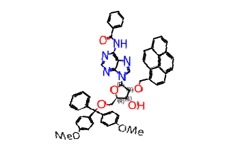 COc1ccc(C(OC[C@H]2O[C@@H](n3cnc4c(NC(=O)c5ccccc5)ncnc43)[C@H](OCc3ccc4ccc5cccc6ccc3c4c56)[C@@H]2O)(c2ccccc2)c2ccc(OC)cc2)cc1